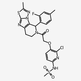 Cc1ccc(C2c3c(nc4sc(C)nn34)CCN2C(=O)COc2ccc(NS(C)(=O)=O)nc2Cl)c(F)c1